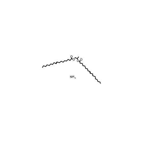 CCCCCCCCC=CCCCCCCCC(=O)OCC(C)OC(=O)CCCCCCCC=CCCCCCCCC.N